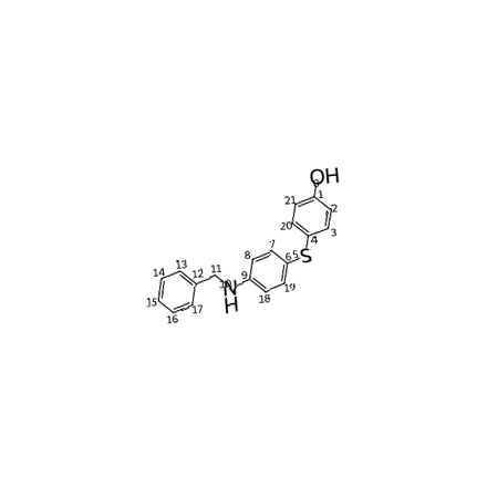 Oc1ccc(Sc2ccc(NCc3ccccc3)cc2)cc1